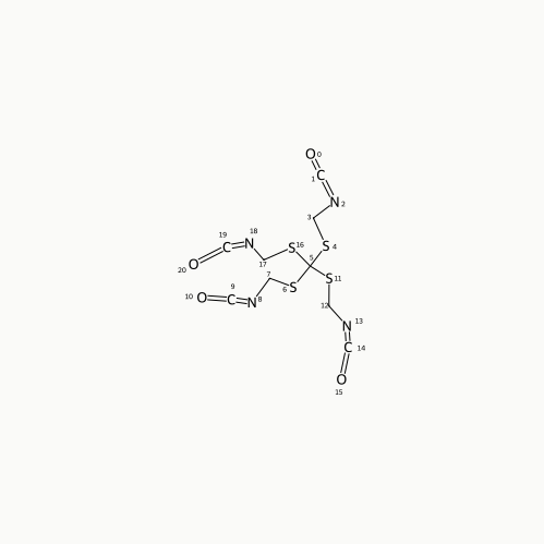 O=C=NCSC(SCN=C=O)(SCN=C=O)SCN=C=O